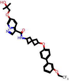 CC(C)(O)COc1ccc2c(C(=O)NC3CC4(C3)CC(Oc3ccc(-c5cccc(OCC(F)(F)F)c5)cc3)C4)cnn2c1